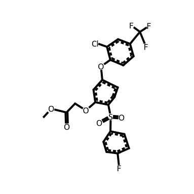 COC(=O)COc1cc(Oc2ccc(C(F)(F)F)cc2Cl)ccc1S(=O)(=O)c1ccc(F)cc1